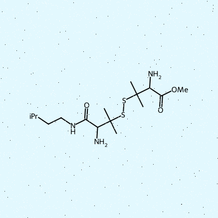 COC(=O)C(N)C(C)(C)SSC(C)(C)C(N)C(=O)NCCC(C)C